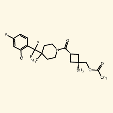 CC(=O)OC[C@]1(N)C[C@@H](C(=O)N2CCC(C)(C(F)(F)c3ccc(F)cc3Cl)CC2)C1